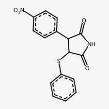 O=C1NC(=O)C(c2ccc([N+](=O)[O-])cc2)C1Sc1ccccc1